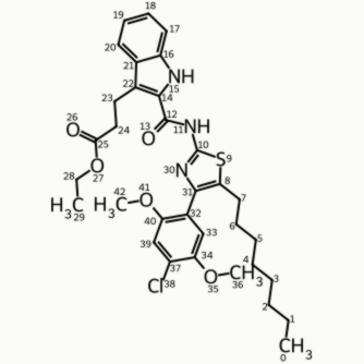 CCCCCCCCc1sc(NC(=O)c2[nH]c3ccccc3c2CCC(=O)OCC)nc1-c1cc(OC)c(Cl)cc1OC